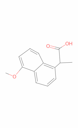 COc1cccc2c(C(C)C(=O)O)cccc12